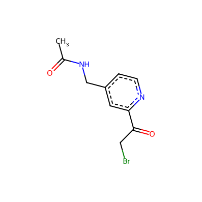 CC(=O)NCc1ccnc(C(=O)CBr)c1